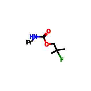 CC(C)NC(=O)OCC(C)(C)F